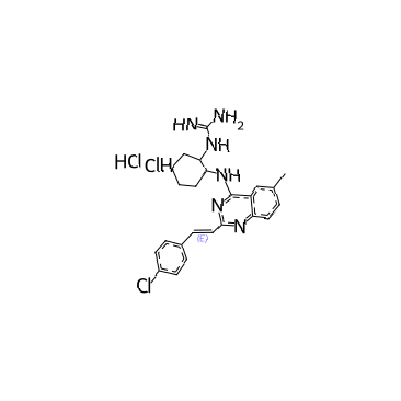 Cc1ccc2nc(/C=C/c3ccc(Cl)cc3)nc(NC3CCCCC3NC(=N)N)c2c1.Cl.Cl